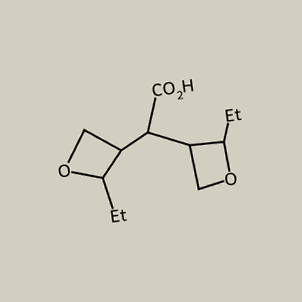 CCC1OCC1C(C(=O)O)C1COC1CC